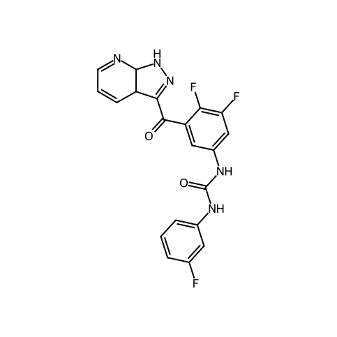 O=C(Nc1cccc(F)c1)Nc1cc(F)c(F)c(C(=O)C2=NNC3N=CC=CC23)c1